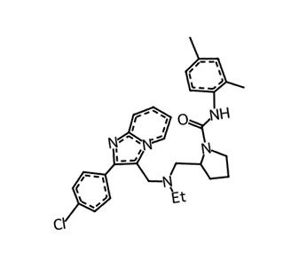 CCN(Cc1c(-c2ccc(Cl)cc2)nc2ccccn12)CC1CCCN1C(=O)Nc1ccc(C)cc1C